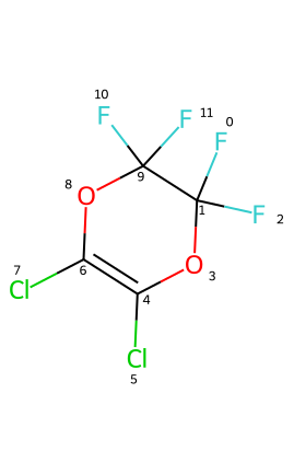 FC1(F)OC(Cl)=C(Cl)OC1(F)F